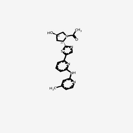 CC(=O)N1C[C@H](O)C[C@H]1c1ncc(-c2cccc(Nc3cc(C)ccn3)n2)s1